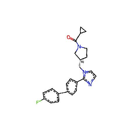 O=C(C1CC1)N1CC[C@H](Cn2ccnc2-c2ccc(-c3ccc(F)cc3)cc2)C1